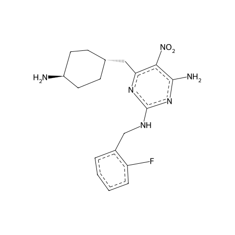 Nc1nc(NCc2ccccc2F)nc(C[C@H]2CC[C@H](N)CC2)c1[N+](=O)[O-]